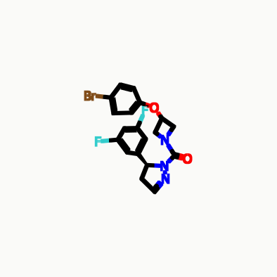 O=C(N1CC(Oc2ccc(Br)cc2)C1)N1N=CC[C@H]1c1cc(F)cc(F)c1